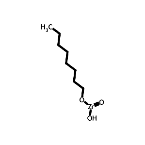 CCCCCCCC[O][Zr](=[O])[OH]